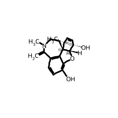 C=C1c2ccc(O)c3c2[C@]2(CCN1C)[C@H](C)C=C[C@H](O)[C@@H]2O3